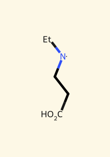 CC[N]CCC(=O)O